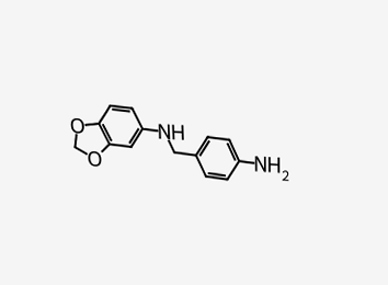 Nc1ccc(CNc2ccc3c(c2)OCO3)cc1